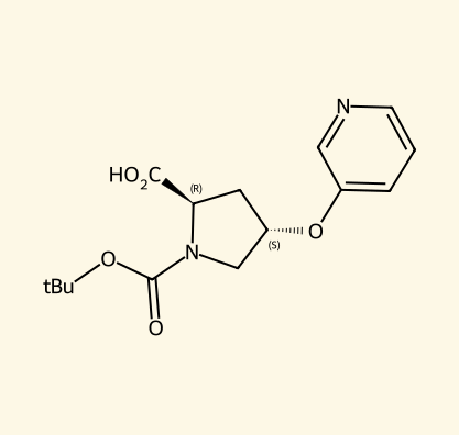 CC(C)(C)OC(=O)N1C[C@@H](Oc2cccnc2)C[C@@H]1C(=O)O